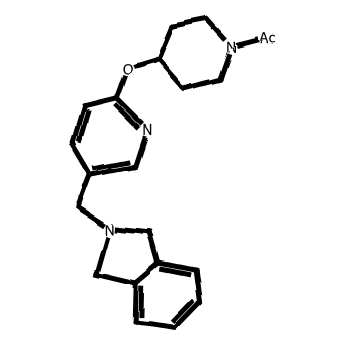 CC(=O)N1CCC(Oc2ccc(CN3Cc4ccccc4C3)cn2)CC1